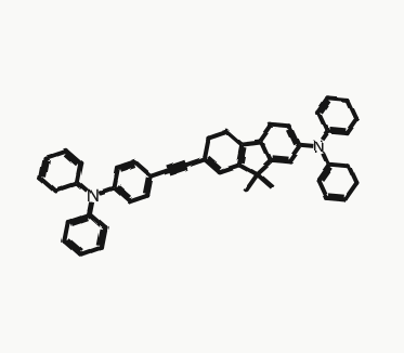 CC1(C)C2=CC(N(C3=CCCC=C3)C3=CC=CCC3)=CCC2C2=C1C=C(C#Cc1ccc(N(c3ccccc3)C3C=CC=CC3)cc1)CC2